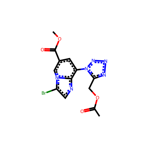 COC(=O)c1cc(-n2nnnc2COC(C)=O)c2ncc(Br)n2c1